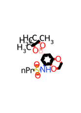 CCCS(=O)(=O)Nc1cc(B2OC(C)(C)C(C)(C)O2)cc2c1OCCO2